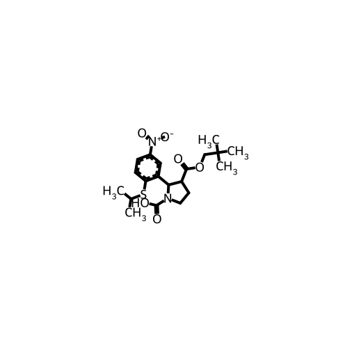 CC(C)Sc1ccc([N+](=O)[O-])cc1C1C(C(=O)OCC(C)(C)C)CCN1C(=O)O